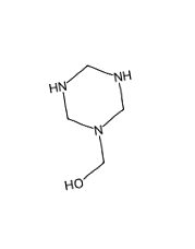 OCN1CNCNC1